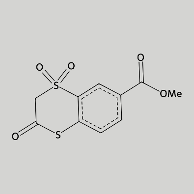 COC(=O)c1ccc2c(c1)S(=O)(=O)CC(=O)S2